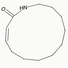 O=C1C=CCCCCCCCCCN1